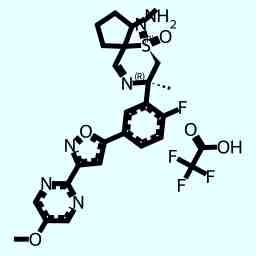 CN=[S@@]1(=O)C[C@@](C)(c2cc(-c3cc(-c4ncc(OC)cn4)no3)ccc2F)N=CC12CCCC2N.O=C(O)C(F)(F)F